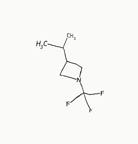 CC(C)C1CN(C(F)(F)F)C1